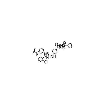 O=C(NNS(=O)(=O)c1ccccc1)c1ccc(Nc2nc(-c3ccccc3Cl)n(-c3cccc(C(F)(F)F)c3)n2)cc1